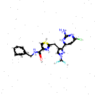 Nc1nc(Cl)cc(-c2nn(C(F)F)cc2Cc2nc(C(=O)NCc3ccccc3)cs2)n1